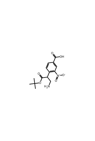 CC(C)(C)OC(=O)C(CN)c1ccc(C(=O)O)cc1[N+](=O)[O-]